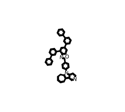 C1=C=Cc2c(n(-c3ccc(-c4nc5c(-c6cccc(-c7ccccc7)c6)cc(-c6cccc(-c7ccccc7)c6)cc5o4)cc3)c3ccncc23)CC=1